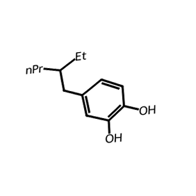 CCCC(CC)Cc1ccc(O)c(O)c1